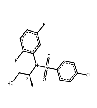 C[C@@H](CO)N(c1cc(F)ccc1F)S(=O)(=O)c1ccc(Cl)cc1